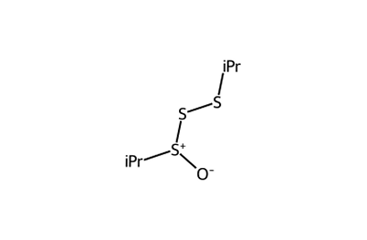 CC(C)SS[S+]([O-])C(C)C